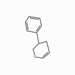 C1=COCC(c2ccccc2)C1